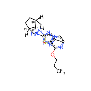 Cc1cc(N2C[C@H]3CC[C@@H](C2)[C@@H]3Nc2nc3c(OCCC(F)(F)F)nccn3n2)sn1